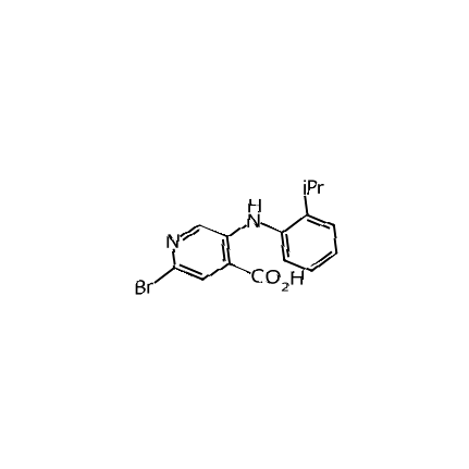 CC(C)c1ccccc1Nc1cnc(Br)cc1C(=O)O